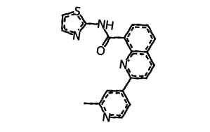 Cc1cc(-c2ccc3cccc(C(=O)Nc4nccs4)c3n2)ccn1